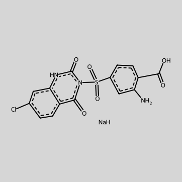 Nc1cc(S(=O)(=O)n2c(=O)[nH]c3cc(Cl)ccc3c2=O)ccc1C(=O)O.[NaH]